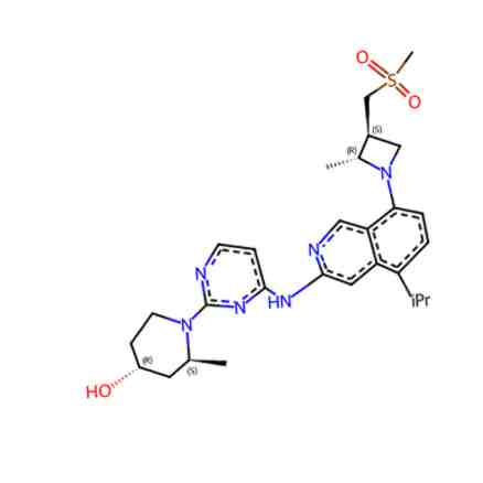 CC(C)c1ccc(N2C[C@H](CS(C)(=O)=O)[C@H]2C)c2cnc(Nc3ccnc(N4CC[C@@H](O)C[C@@H]4C)n3)cc12